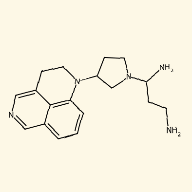 NCCC(N)N1CCC(N2CCc3cncc4cccc2c34)C1